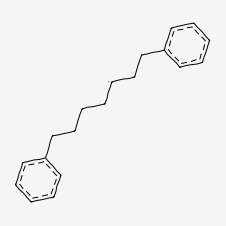 [CH](CCCCc1ccccc1)CCc1ccccc1